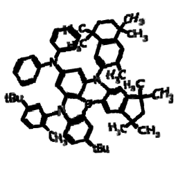 Cc1ccc(C(C)(C)C)cc1N1c2ccc(C(C)(C)C)cc2B2c3cc4c(cc3N(c3cc5c(cc3C)C(C)(C)CCC5(C)C)c3cc(N(c5ccccc5)c5ccccc5)cc1c32)C(C)(C)CC4(C)C